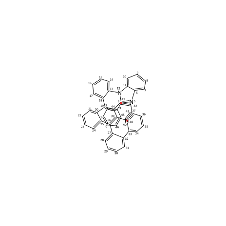 c1ccc(-c2nc3ccccc3n2-c2ccccc2-c2c3ccccc3c(-c3ccccc3-c3ccccn3)c3ccccc23)cc1